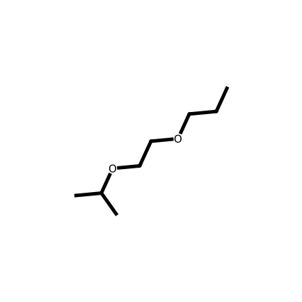 CCCOCCOC(C)C